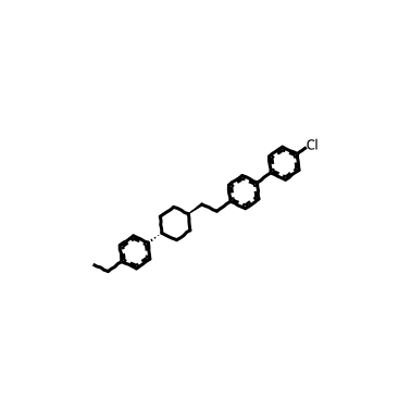 CCc1ccc([C@H]2CC[C@H](CCc3ccc(-c4ccc(Cl)cc4)cc3)CC2)cc1